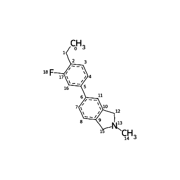 CCc1ccc(-c2ccc3c(c2)CN(C)C3)cc1F